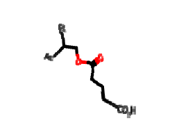 CCC(COC(=O)CCCC(=O)O)C(C)=O